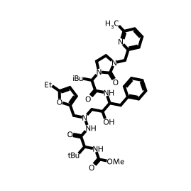 CCc1ccc(CN(CC(O)C(Cc2ccccc2)NC(=O)C(C(C)CC)N2CCN(Cc3cccc(C)n3)C2=O)NC(=O)C(NC(=O)OC)C(C)(C)C)o1